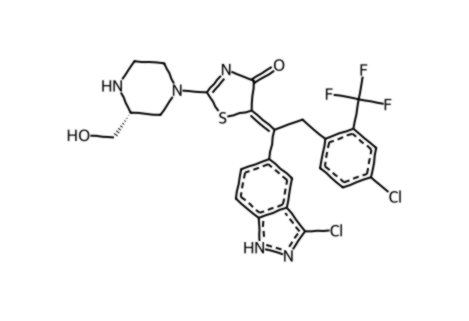 O=C1N=C(N2CCN[C@@H](CO)C2)SC1=C(Cc1ccc(Cl)cc1C(F)(F)F)c1ccc2[nH]nc(Cl)c2c1